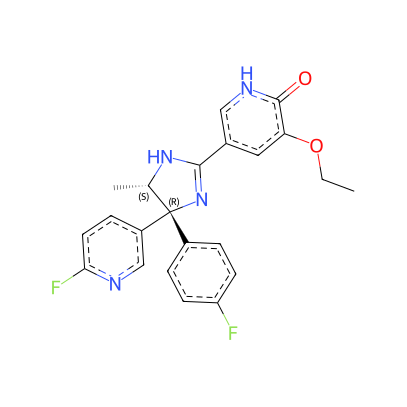 CCOc1cc(C2=N[C@](c3ccc(F)cc3)(c3ccc(F)nc3)[C@H](C)N2)c[nH]c1=O